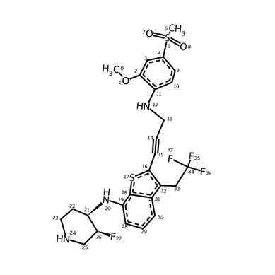 COc1cc(S(C)(=O)=O)ccc1NCC#Cc1sc2c(N[C@@H]3CCNC[C@@H]3F)cccc2c1CC(F)(F)F